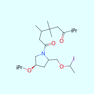 CC(C)O[C@@H]1CC(COC(C)I)N(C(=O)CC(C)C(C)(C)CC(=O)C(C)C)C1